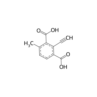 C#Cc1c(C(=O)O)ccc(C)c1C(=O)O